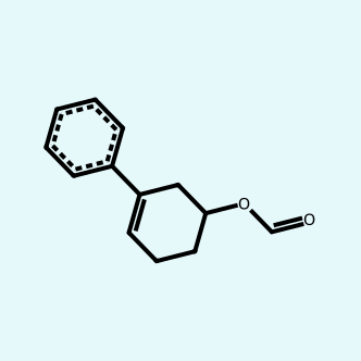 O=COC1CCC=C(c2ccccc2)C1